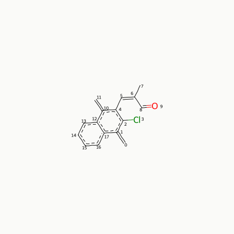 C=c1c(Cl)c(/C=C(/C)C=O)c(=C)c2ccccc12